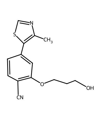 Cc1ncsc1-c1ccc(C#N)c(OCCCO)c1